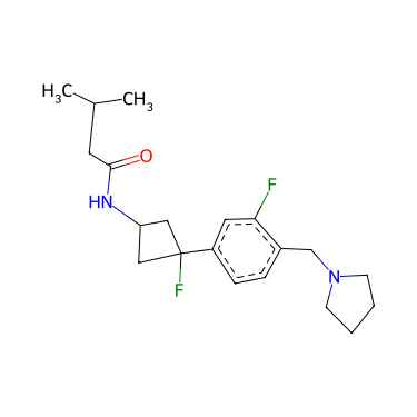 CC(C)CC(=O)NC1CC(F)(c2ccc(CN3CCCC3)c(F)c2)C1